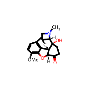 COc1ccc2c3c1O[C@H]1C(=O)CC[C@@]4(O)[C@@H]5N(C)CC5(C2)C[C@]314